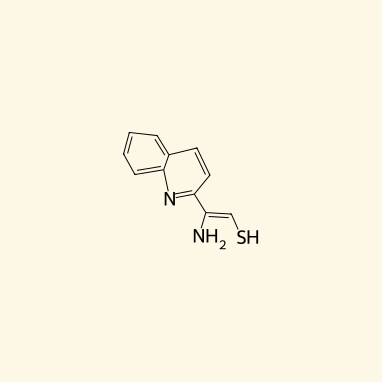 N/C(=C\S)c1ccc2ccccc2n1